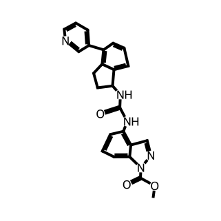 COC(=O)n1ncc2c(NC(=O)NC3CCc4c(-c5cccnc5)cccc43)cccc21